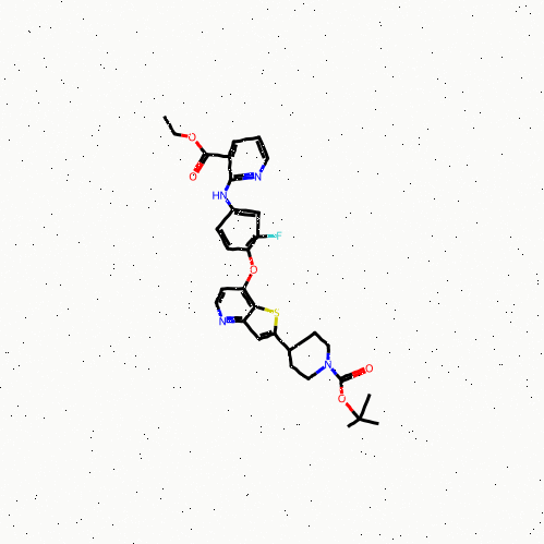 CCOC(=O)c1cccnc1Nc1ccc(Oc2ccnc3cc(C4CCN(C(=O)OC(C)(C)C)CC4)sc23)c(F)c1